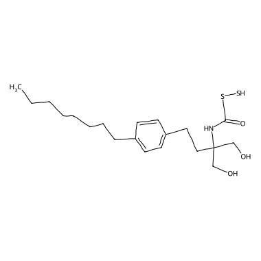 CCCCCCCCc1ccc(CCC(CO)(CO)NC(=O)SS)cc1